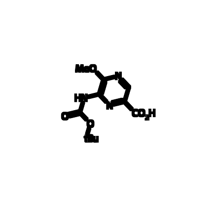 COc1ncc(C(=O)O)nc1NC(=O)OC(C)(C)C